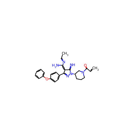 C=CC(=O)N1CCC[C@@H](N2N=C(c3ccc(Oc4ccccc4)cc3)/C(=C(N)/N=C/C)C2=N)C1